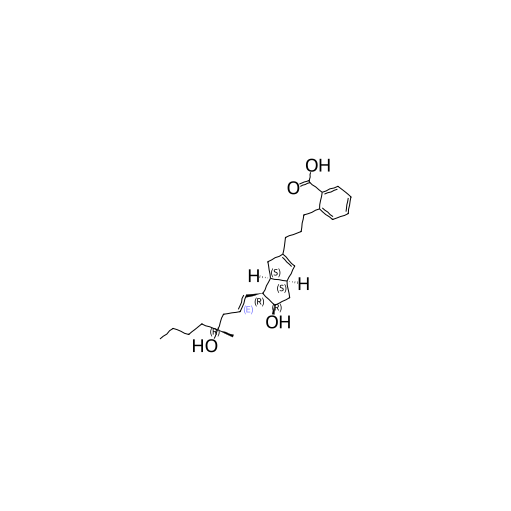 CCCC[C@@](C)(O)C/C=C/[C@H]1[C@H]2CC(CCCc3ccccc3C(=O)O)=C[C@H]2C[C@H]1O